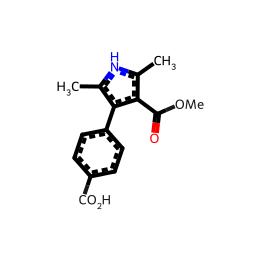 COC(=O)c1c(C)[nH]c(C)c1-c1ccc(C(=O)O)cc1